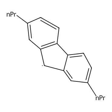 CCCc1ccc2c(c1)[CH]c1cc(CCC)ccc1-2